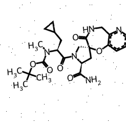 CN(C(=O)OC(C)(C)C)[C@@H](CC1CC1)C(=O)N1C[C@@]2(C[C@H]1C(N)=O)Oc1cccnc1CNC2=O